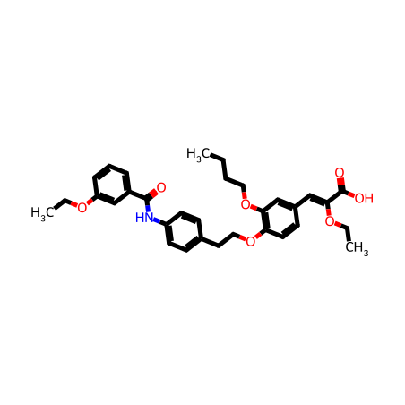 CCCCOc1cc(/C=C(\OCC)C(=O)O)ccc1OCCc1ccc(NC(=O)c2cccc(OCC)c2)cc1